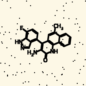 Cc1cc2c(-c3ccc(F)c4[nH]ncc34)c(N)c(=O)[nH]c2c2ccccc12